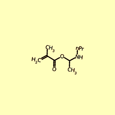 C=C(C)C(=O)OC(C)NCCC